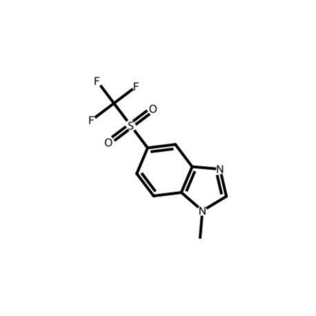 Cn1cnc2cc(S(=O)(=O)C(F)(F)F)ccc21